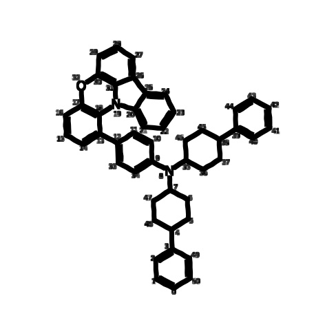 c1ccc(C2CCC(N(c3ccc(-c4cccc5c4-n4c6ccccc6c6cccc(c64)O5)cc3)C3CCC(c4ccccc4)CC3)CC2)cc1